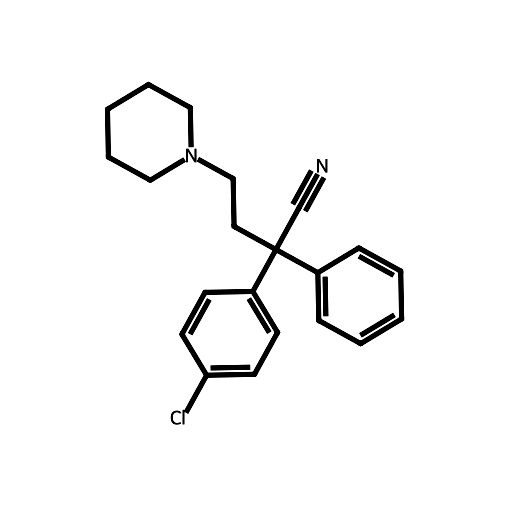 N#CC(CCN1CCCCC1)(c1ccccc1)c1ccc(Cl)cc1